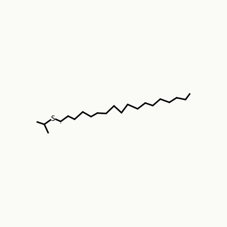 CCCCCCCCCCCCCCCCC[CH]SC(C)C